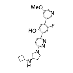 COc1cncc(-c2cc(O)c(-c3ccc(N4CC[C@@H](NC5CCC5)C4)nn3)cc2F)c1